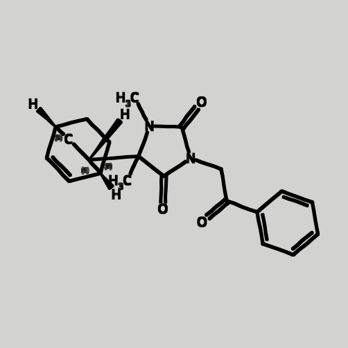 CN1C(=O)N(CC(=O)c2ccccc2)C(=O)C1(C)[C@H]1C[C@@H]2C=C[C@H]1CC2